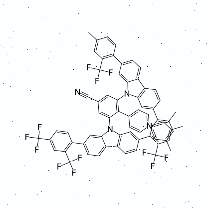 Cc1ccc(-c2ccc3c4ccc(-c5ccc(C)cc5C(F)(F)F)cc4n(-c4cc(C#N)cc(-n5c6cc(-c7ccc(C)cc7C(F)(F)F)ccc6c6ccc(-c7ccc(C(F)(F)F)cc7C(F)(F)F)cc65)c4-c4ccncc4)c3c2)c(C)c1